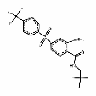 CC(C)(C)CNC(=O)c1ncc(S(=O)(=O)c2ccc(C(F)(F)F)cc2)cc1N